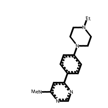 CCN1CCN(c2ccc(-c3cc(NC)ncn3)cc2)CC1